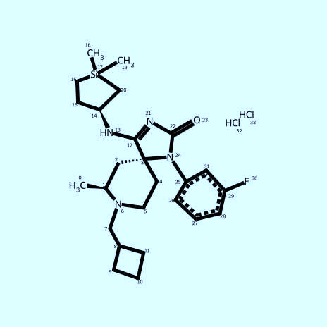 C[C@H]1C[C@]2(CCN1CC1CCC1)C(N[C@H]1CC[Si](C)(C)C1)=NC(=O)N2c1cccc(F)c1.Cl.Cl